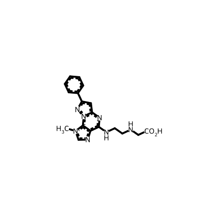 Cn1cnc2c(NCCNCC(=O)O)nc3cc(-c4ccccc4)nn3c21